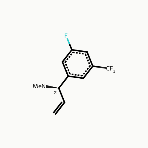 C=C[C@@H](NC)c1cc(F)cc(C(F)(F)F)c1